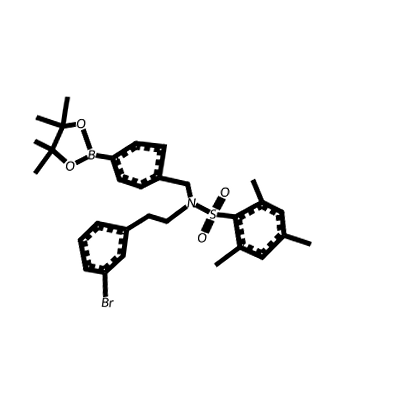 Cc1cc(C)c(S(=O)(=O)N(CCc2cccc(Br)c2)Cc2ccc(B3OC(C)(C)C(C)(C)O3)cc2)c(C)c1